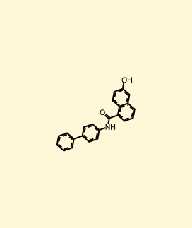 O=C(Nc1ccc(-c2ccccc2)cc1)c1cccc2cc(O)ccc12